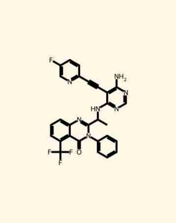 CC(Nc1ncnc(N)c1C#Cc1ccc(F)cn1)c1nc2cccc(C(F)(F)F)c2c(=O)n1-c1ccccc1